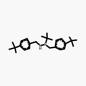 CC(C)(C)c1ccc(CNN(Cc2ccc(C(C)(C)C)cc2)C(C)(C)C)cc1